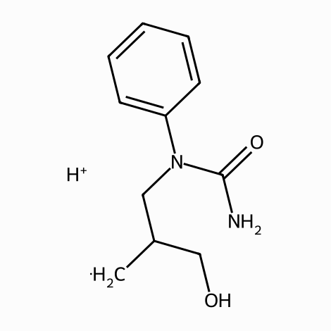 [CH2]C(CO)CN(C(N)=O)c1ccccc1.[H+]